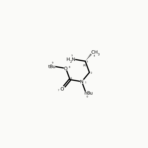 CCCCN(C[C@@H](C)N)C(=O)OC(C)(C)C